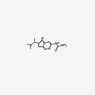 CC(c1cc2cnc(NC(N)=O)cc2[nH]1)N(C)C